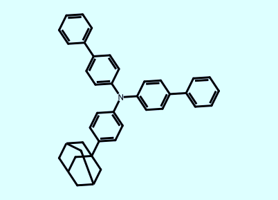 c1ccc(-c2ccc(N(c3ccc(-c4ccccc4)cc3)c3ccc(C45CC6CC(CC(C6)C4)C5)cc3)cc2)cc1